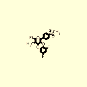 CCc1oc(-c2ccc(S(C)(=O)=O)cc2)c(Oc2ccc(F)cc2F)c(=O)c1C